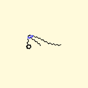 CCCCCCCCCCCCCCCCCn1cc[n+](CCCc2ccccc2)c1CCCCCCC